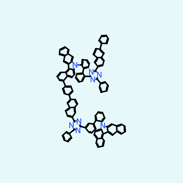 c1ccc(-c2ccc3cc(-c4nc(-c5ccccc5)nc(-c5ccccc5-c5ccccc5-n5c6cc7ccccc7cc6c6c7cccc(-c8ccc(-c9ccc%10cc(-c%11nc(-c%12ccccc%12)nc(-c%12cccc(-c%13ccccc%13-n%13c%14cc%15ccccc%15cc%14c%14c%15ccccc%15ccc%14%13)c%12)n%11)ccc%10c9)cc8)c7ccc65)n4)ccc3c2)cc1